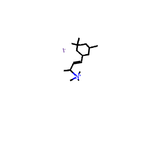 CC1CC(C=CC(C)[N+](C)(C)C)CC(C)(C)C1.[I-]